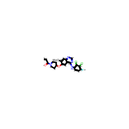 C=CC(=O)N1CCC(Oc2cc3c(Nc4ccc(F)c(Cl)c4Cl)ncnc3cc2OC)CC1